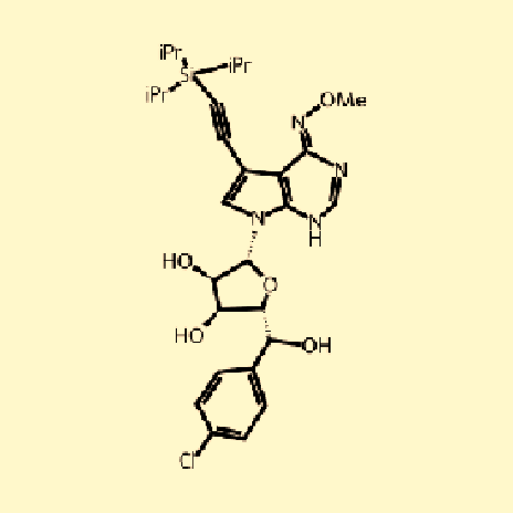 CO/N=c1\nc[nH]c2c1c(C#C[Si](C(C)C)(C(C)C)C(C)C)cn2[C@@H]1O[C@H](C(O)c2ccc(Cl)cc2)[C@@H](O)[C@H]1O